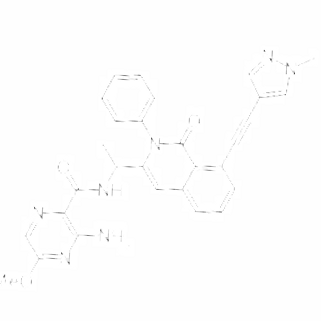 COc1cnc(C(=O)NC(C)c2cc3cccc(C#Cc4cnn(C)c4)c3c(=O)n2-c2ccccc2)c(N)n1